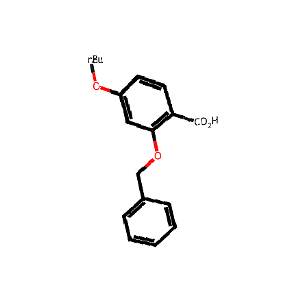 CCCCOc1ccc(C(=O)O)c(OCc2ccccc2)c1